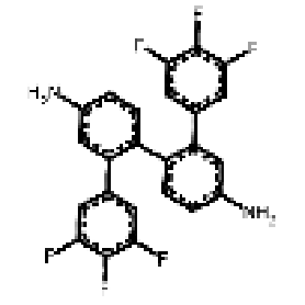 Nc1ccc(-c2ccc(N)cc2-c2cc(F)c(F)c(F)c2)c(-c2cc(F)c(F)c(F)c2)c1